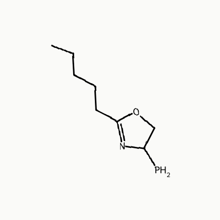 CCCCCC1=NC(P)CO1